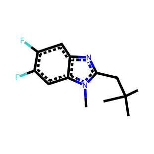 Cn1c(CC(C)(C)C)nc2cc(F)c(F)cc21